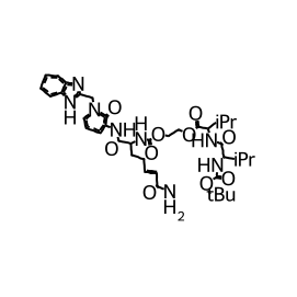 CC(C)C(NC(=O)OC(C)(C)C)C(=O)NC(C(=O)OCCOC(=O)NC(CC/C=C/C(N)=O)C(=O)Nc1cccn(Cc2nc3ccccc3[nH]2)c1=O)C(C)C